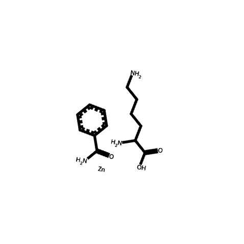 NC(=O)c1ccccc1.NCCCCC(N)C(=O)O.[Zn]